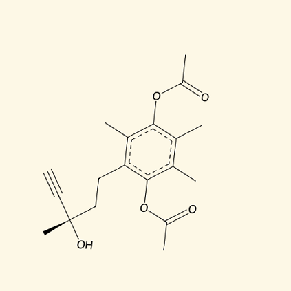 C#C[C@@](C)(O)CCc1c(C)c(OC(C)=O)c(C)c(C)c1OC(C)=O